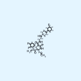 COCC1=C(C(=O)OC)[C@H](c2ccc(F)c(F)c2)N(C(=O)NCCNC2CCN(c3cccc(F)c3)CC2)C(=O)N1